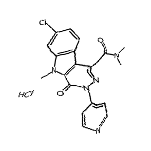 CN(C)C(=O)c1nn(-c2ccncc2)c(=O)c2c1c1ccc(Cl)cc1n2C.Cl